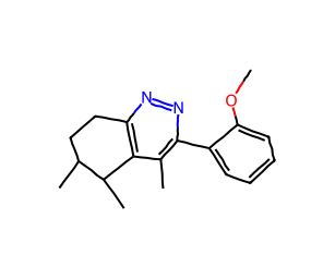 COc1ccccc1-c1nnc2c(c1C)C(C)C(C)CC2